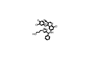 N#Cc1cnc2c(Cl)cc(NC(c3ccccc3)c3cn(CCCO)nn3)cc2c1Nc1ccc(F)c(Cl)c1